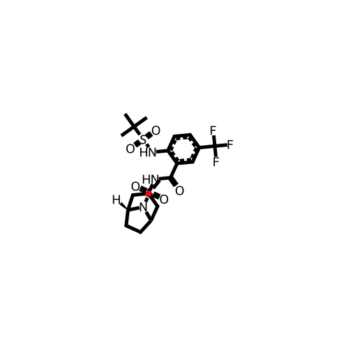 CC(C)(C)S(=O)(=O)Nc1ccc(C(F)(F)F)cc1C(=O)NC1CC2CC[C@H](C1)N2S(C)(=O)=O